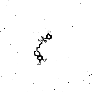 COc1cc2c(cc1OC)CN(CCCCNS(=O)(=O)c1cccc(Cl)c1)CC2